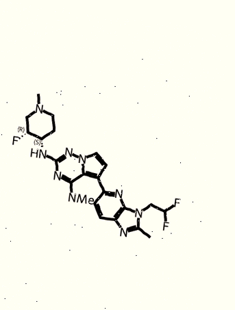 CNc1nc(N[C@H]2CCN(C)C[C@H]2F)nn2ccc(-c3ccc4nc(C)n(CC(F)F)c4n3)c12